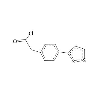 O=C(Cl)Cc1ccc(-c2ccsc2)cc1